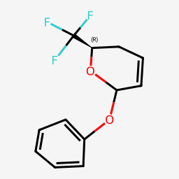 FC(F)(F)[C@H]1CC=CC(Oc2ccccc2)O1